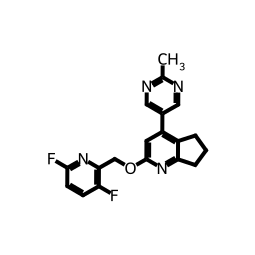 Cc1ncc(-c2cc(OCc3nc(F)ccc3F)nc3c2CCC3)cn1